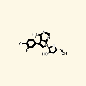 Nc1ncnc2c1c(-c1ccc(Cl)c(F)c1)cn2[C@@H]1O[C@H](CO)C[C@H]1O